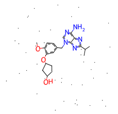 COc1ccc(Cn2cnc(N)c3nc(C(C)C)nc2-3)cc1OC1CCC(O)C1